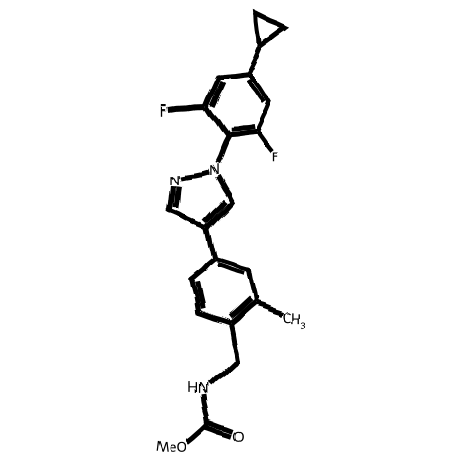 COC(=O)NCc1ccc(-c2cnn(-c3c(F)cc(C4CC4)cc3F)c2)cc1C